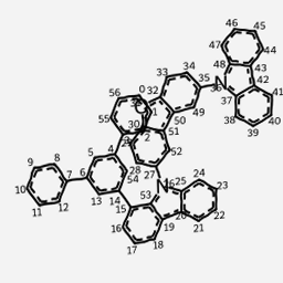 c1ccc(-c2cc(-c3ccccc3)cc(-c3cccc4c5ccccc5n(-c5ccc6oc7ccc(-n8c9ccccc9c9ccccc98)cc7c6c5)c34)c2)cc1